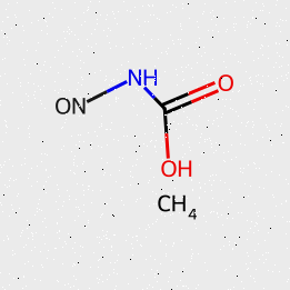 C.O=NNC(=O)O